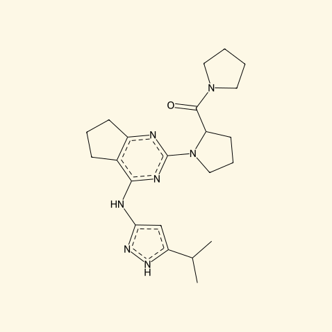 CC(C)c1cc(Nc2nc(N3CCCC3C(=O)N3CCCC3)nc3c2CCC3)n[nH]1